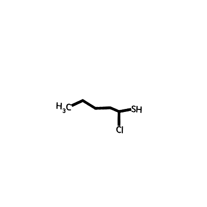 CCCCC(S)Cl